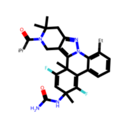 CCc1cccc2c1-n1nc3c(c1C1(C)C(F)=CC(C)(NC(N)=O)C(F)=C21)CN(C(=O)C(C)C)C(C)(C)C3